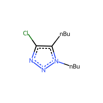 CCCCc1c(Cl)nnn1CCCC